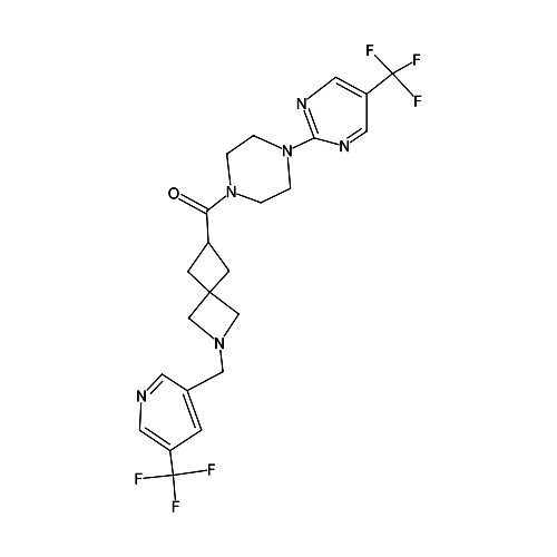 O=C(C1CC2(C1)CN(Cc1cncc(C(F)(F)F)c1)C2)N1CCN(c2ncc(C(F)(F)F)cn2)CC1